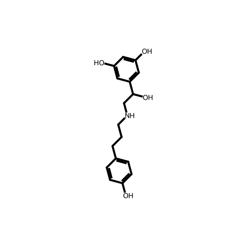 Oc1ccc(CCCNCC(O)c2cc(O)cc(O)c2)cc1